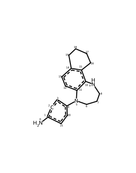 Nc1ccc(N2CCCNc3c2ccc2c3CCCC2)cc1